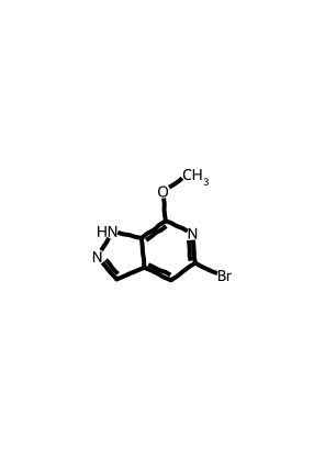 COc1nc(Br)cc2cn[nH]c12